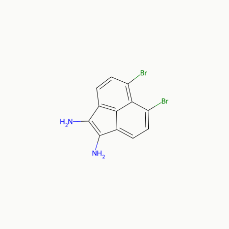 NC1=C(N)c2ccc(Br)c3c(Br)ccc1c23